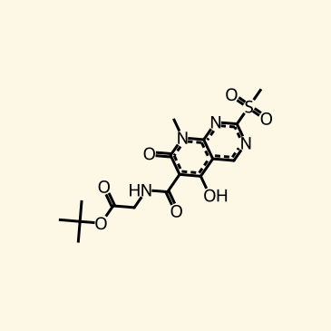 Cn1c(=O)c(C(=O)NCC(=O)OC(C)(C)C)c(O)c2cnc(S(C)(=O)=O)nc21